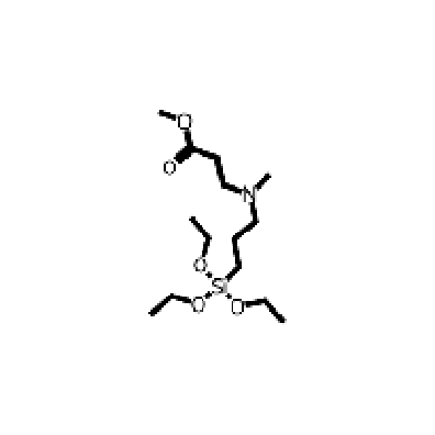 CCO[Si](CCCN(C)CCC(=O)OC)(OCC)OCC